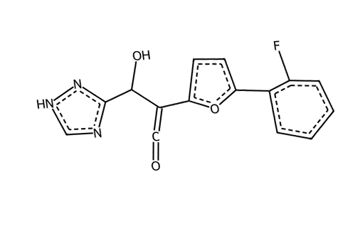 O=C=C(c1ccc(-c2ccccc2F)o1)C(O)c1nc[nH]n1